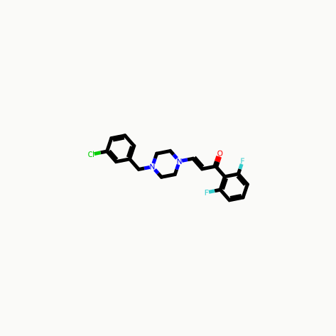 O=C(C=CN1CCN(Cc2cccc(Cl)c2)CC1)c1c(F)cccc1F